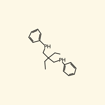 CCC(CC)(CPc1ccccc1)CPc1ccccc1